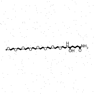 COCCOCCOCCOCCOCCOCCOCCOCCNC(O)CCCC(N)=O